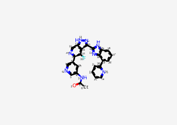 CCC(=O)Nc1cncc(-c2ncc3[nH]nc(-c4nc5c(-c6ccccn6)cccc5[nH]4)c3c2F)c1